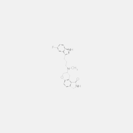 CN(CCCc1c[nH]c2ccc(F)cc12)C1COc2ccc3c(c2C1)C(=O)NC3